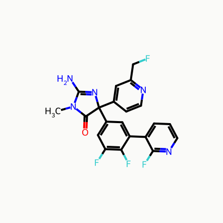 CN1C(=O)C(c2ccnc(CF)c2)(c2cc(F)c(F)c(-c3cccnc3F)c2)N=C1N